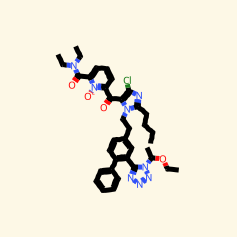 CCCCc1nc(Cl)c(C(=O)c2cccc(C(=O)N(CC)CC)[n+]2[O-])n1CCc1ccc(-c2ccccc2)c(-c2nnnn2C(C)OCC)c1